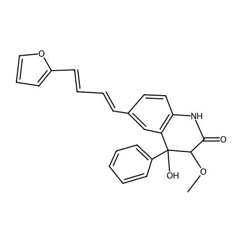 COC1C(=O)Nc2ccc(/C=C/C=C/c3ccco3)cc2C1(O)c1ccccc1